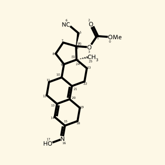 COC(=O)O[C@@]1(CC#N)CCC2C3CCC4=CC(=NO)CCC4=C3CC[C@@]21C